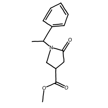 COC(=O)C1CC(=O)N(C(C)c2ccccc2)C1